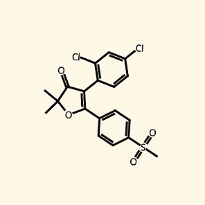 CC1(C)OC(c2ccc(S(C)(=O)=O)cc2)=C(c2ccc(Cl)cc2Cl)C1=O